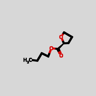 CCCCOC(=O)[C@@H]1CCCO1